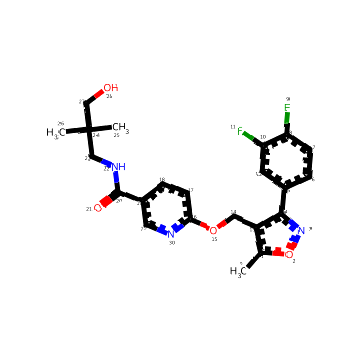 Cc1onc(-c2ccc(F)c(F)c2)c1COc1ccc(C(=O)NCC(C)(C)CO)cn1